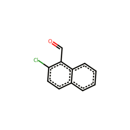 O=Cc1c(Cl)ccc2ccccc12